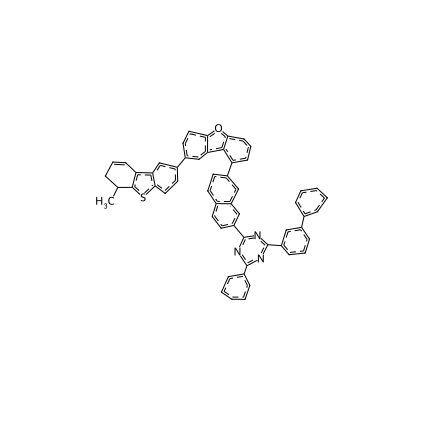 CC1CC=Cc2c1sc1ccc(-c3ccc4oc5cccc(-c6ccc7ccc(-c8nc(-c9ccccc9)nc(-c9cccc(-c%10ccccc%10)c9)n8)cc7c6)c5c4c3)cc21